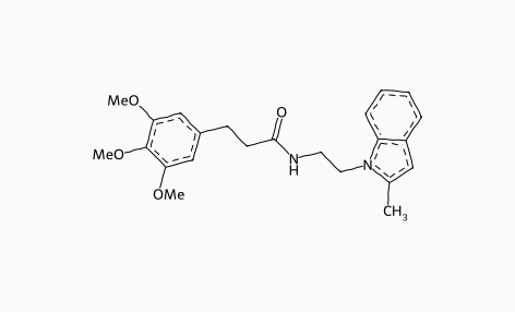 COc1cc(CCC(=O)NCCn2c(C)cc3ccccc32)cc(OC)c1OC